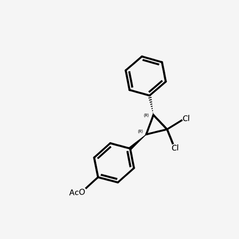 CC(=O)Oc1ccc([C@H]2[C@H](c3ccccc3)C2(Cl)Cl)cc1